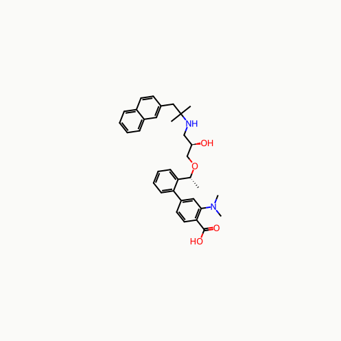 C[C@@H](OC[C@H](O)CNC(C)(C)Cc1ccc2ccccc2c1)c1ccccc1-c1ccc(C(=O)O)c(N(C)C)c1